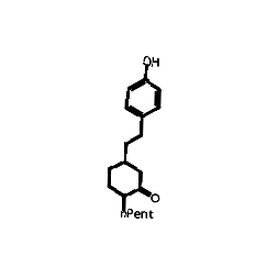 CCCCCC1CCC(CCc2ccc(O)cc2)CC1=O